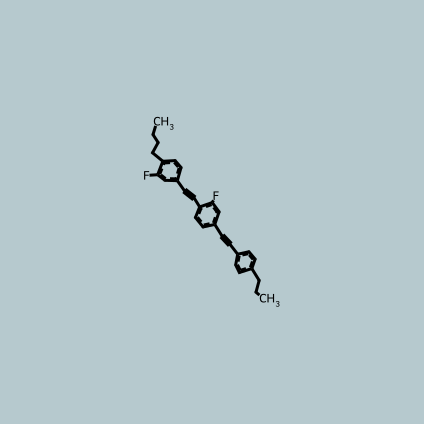 CCCCc1ccc(C#Cc2ccc(C#Cc3ccc(CCC)cc3)cc2F)cc1F